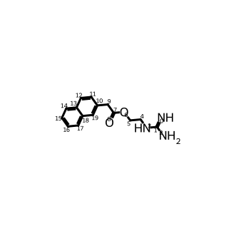 N=C(N)NCCOC(=O)Cc1ccc2ccccc2c1